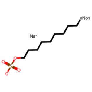 CCCCCCCCCCCCCCCCCCOS(=O)(=O)[O-].[Na+]